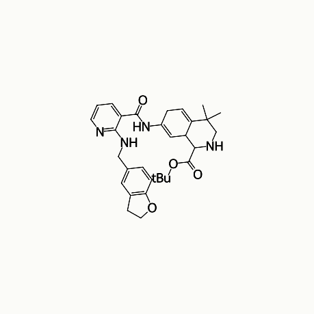 CC(C)(C)OC(=O)C1NCC(C)(C)C2=CCC(NC(=O)c3cccnc3NCc3ccc4c(c3)CCO4)=CC21